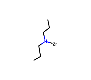 CCC[N]([Zr])CCC